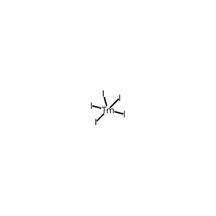 [I][Tm]([I])([I])([I])[I]